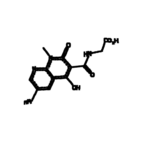 CCCc1cnc2c(c1)c(O)c(C(=O)NCC(=O)O)c(=O)n2C